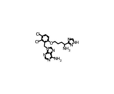 Nc1ncnc2c1ncn2Cc1c(OCCCC(N)c2nc[nH]n2)ccc(Cl)c1Cl